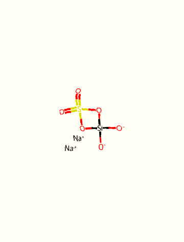 O=S1(=O)O[Si]([O-])([O-])O1.[Na+].[Na+]